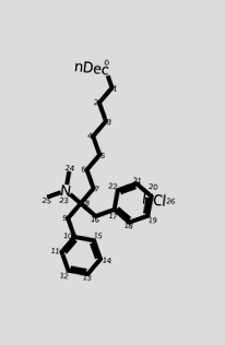 CCCCCCCCCCCCCCCCCC(Cc1ccccc1)(Cc1ccccc1)N(C)C.Cl